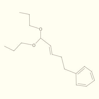 CCCOC(C=CCCc1ccccc1)OCCC